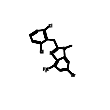 Cn1c(Cc2c(Cl)[c]ccc2Cl)nc2c(C(F)(F)F)cc(Br)cc21